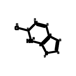 ClC1N=Cc2ccsc2N1